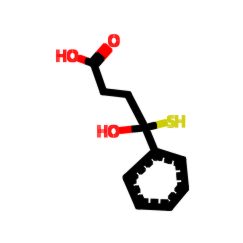 O=C(O)CCC(O)(S)c1ccccc1